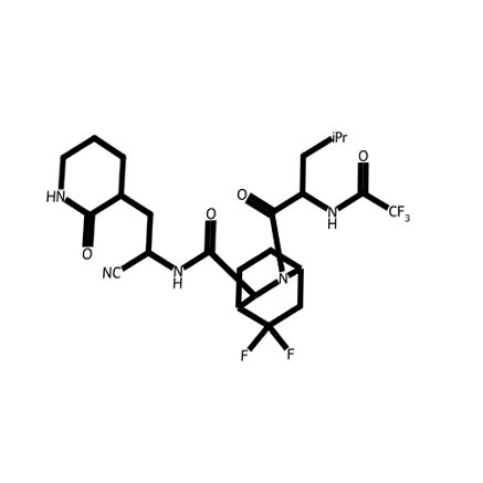 CC(C)CC(NC(=O)C(F)(F)F)C(=O)N1C2CCC(C1C(=O)NC(C#N)CC1CCCNC1=O)C(F)(F)C2